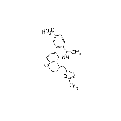 CC(Nc1nccc2c1N(Cc1ccc(C(F)(F)F)o1)CCO2)c1ccc(C(=O)O)cc1